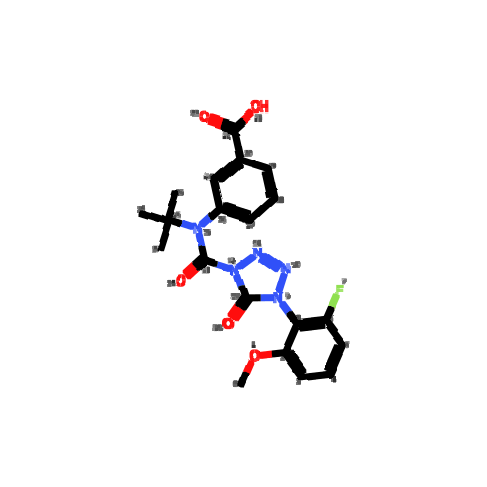 COc1cccc(F)c1-n1nnn(C(=O)N(c2cccc(C(=O)O)c2)C(C)(C)C)c1=O